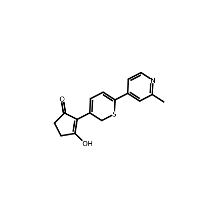 Cc1cc(C2=CC=C(C3=C(O)CCC3=O)CS2)ccn1